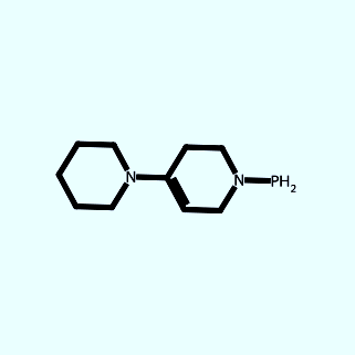 PN1CC=C(N2CCCCC2)CC1